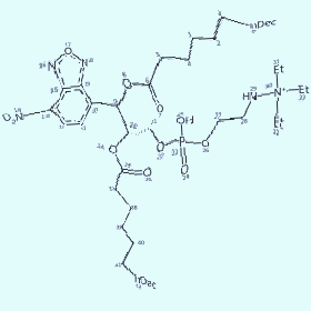 CCCCCCCCCCCCCCCC(=O)OC(c1ccc([N+](=O)[O-])c2nonc12)[C@H](COP(=O)(O)OCCN[N+](CC)(CC)CC)OC(=O)CCCCCCCCCCCCCCC